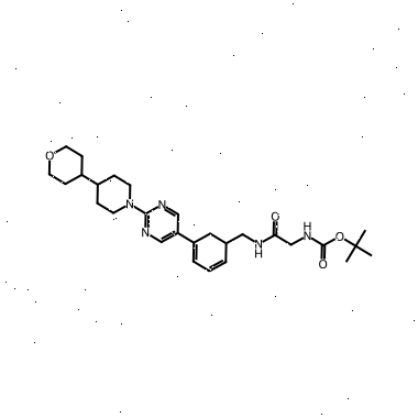 CC(C)(C)OC(=O)NCC(=O)NCC1C=CC=C(c2cnc(N3CCC(C4CCOCC4)CC3)nc2)C1